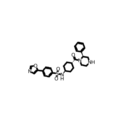 O=C([C@H]1CC[C@H](NS(=O)(=O)c2ccc(-c3cnco3)cc2)CC1)N1CCNC[C@@H]1c1ccccc1